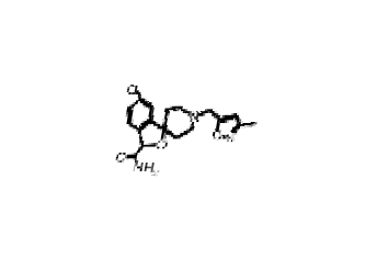 Cc1cc(CN2CCC3(CC2)OC(C(N)=O)c2ccc(Cl)cc23)on1